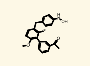 COc1ccc(Cc2ccc(NO)cc2)c(F)c1-c1cccc(C(C)=O)c1